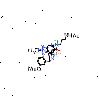 COc1ccc2c(c1)C1=N[C@@H](CC(=O)NCCCNC(C)=O)C3NN(c4cc(Cl)ccc41)C(C)N23